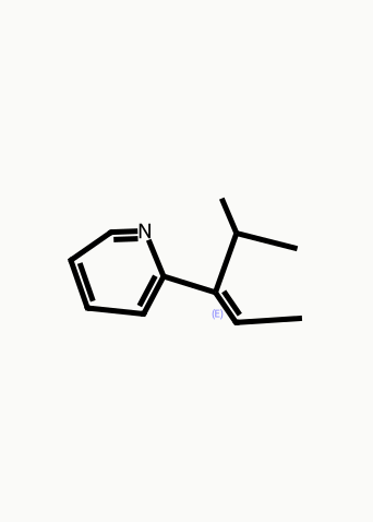 C/C=C(/c1ccccn1)C(C)C